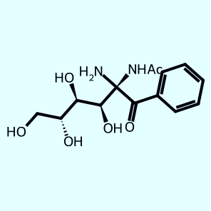 CC(=O)N[C@@](N)(C(=O)c1ccccc1)[C@@H](O)[C@H](O)[C@H](O)CO